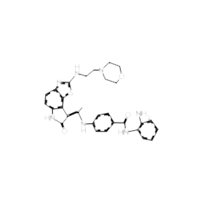 C/C(Nc1ccc(C(=O)Nc2ccccc2N)cc1)=C1/C(=O)Nc2ccc3nc(NCCN4CCOCC4)sc3c21